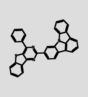 c1ccc(-c2nc(-c3ccc4c5cccc6c7ccccc7n(c4c3)c65)nc3c2sc2ccccc23)cc1